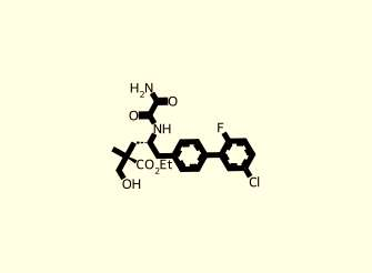 CCOC(=O)[C@](C)(CO)C[C@@H](Cc1ccc(-c2cc(Cl)ccc2F)cc1)NC(=O)C(N)=O